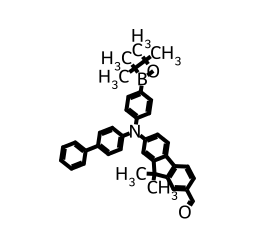 CC1(C)c2cc(C=O)ccc2-c2ccc(N(c3ccc(B4OC(C)(C)C4(C)C)cc3)c3ccc(-c4ccccc4)cc3)cc21